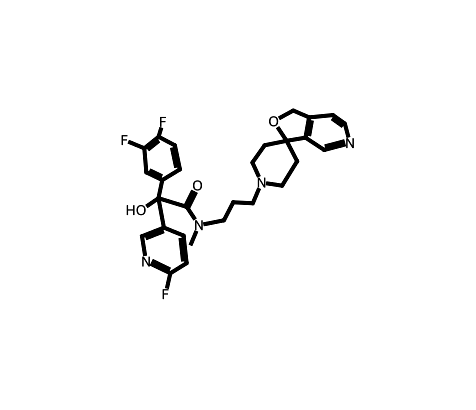 CN(CCCN1CCC2(CC1)OCc1ccncc12)C(=O)C(O)(c1ccc(F)nc1)c1ccc(F)c(F)c1